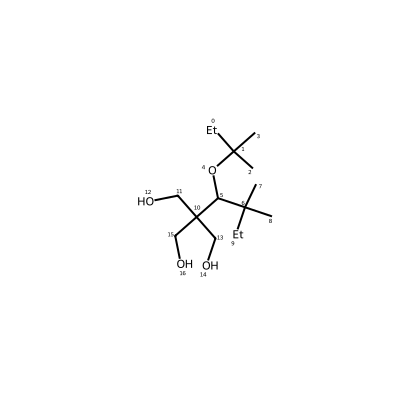 CCC(C)(C)OC(C(C)(C)CC)C(CO)(CO)CO